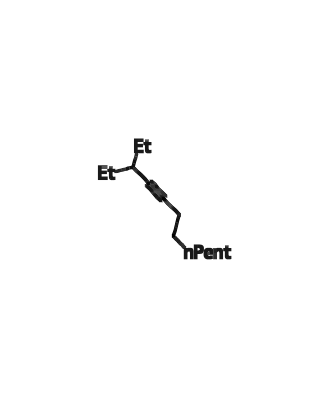 [CH2]CCCCCCC#CC(C[CH2])CC